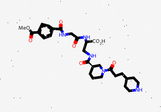 COC(=O)c1ccc(C(=O)NCC(=O)NC(CNC(=O)[C@@H]2CCCN(C(=O)CCC3CCNCC3)C2)C(=O)O)cc1